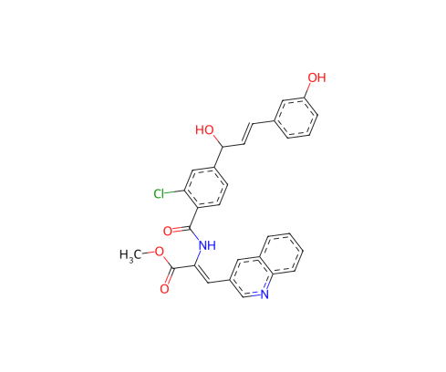 COC(=O)C(=Cc1cnc2ccccc2c1)NC(=O)c1ccc(C(O)C=Cc2cccc(O)c2)cc1Cl